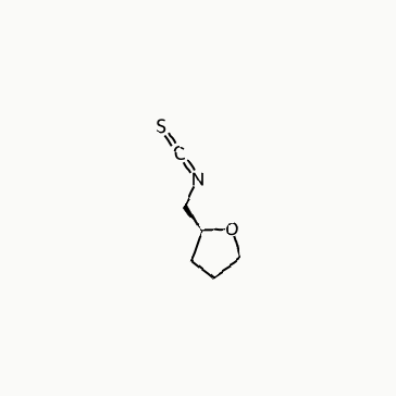 S=C=NC[C@@H]1CCCO1